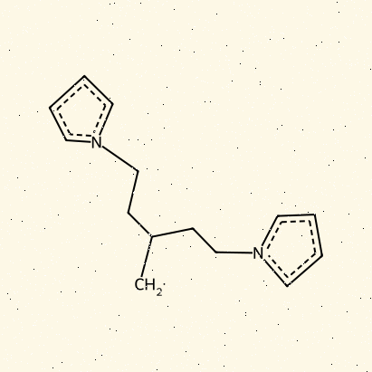 [CH2]C(CCn1cccc1)CCn1cccc1